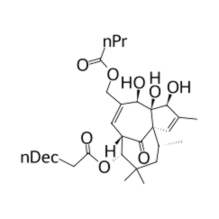 CCCCCCCCCCCC(=O)O[C@@H]1[C@@H]2C=C(COC(=O)CCC)[C@@H](O)[C@]3(O)[C@@H](O)C(C)=C[C@@]3(C2=O)[C@H](C)CC1(C)C